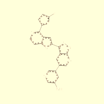 Nc1cncc(-c2cnc3[nH]nc(-c4cc5c(-c6ccc(F)s6)nccc5[nH]4)c3c2)c1